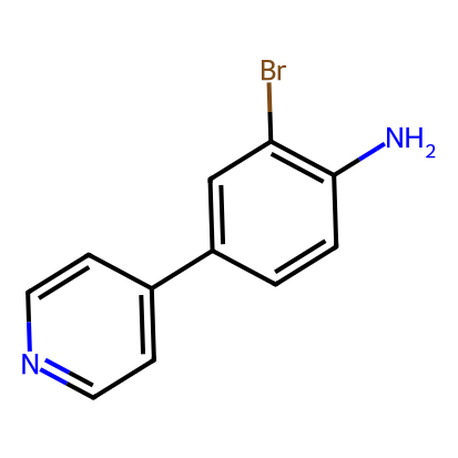 Nc1ccc(-c2ccncc2)cc1Br